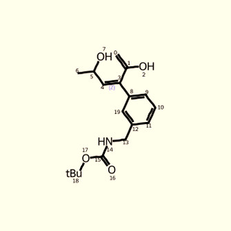 C=C(O)/C(=C\C(C)O)c1cccc(CNC(=O)OC(C)(C)C)c1